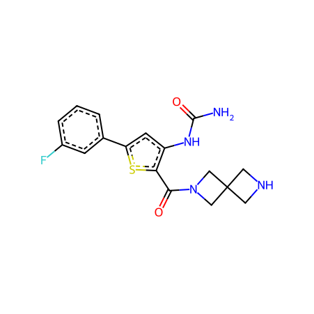 NC(=O)Nc1cc(-c2cccc(F)c2)sc1C(=O)N1CC2(CNC2)C1